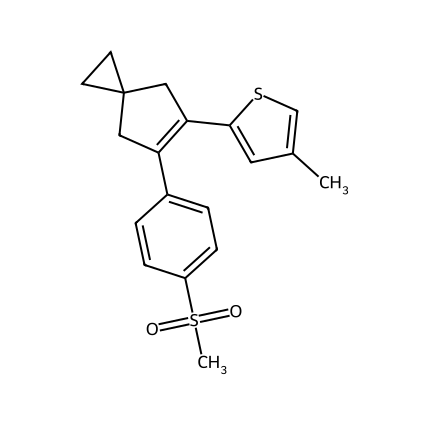 Cc1csc(C2=C(c3ccc(S(C)(=O)=O)cc3)CC3(CC3)C2)c1